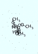 CCCCOc1ccc(C(CC(=O)c2ccc(CC)s2)NC(=O)CC(=O)NS(C)(=O)=O)cc1